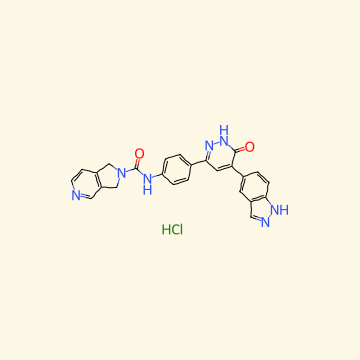 Cl.O=C(Nc1ccc(-c2cc(-c3ccc4[nH]ncc4c3)c(=O)[nH]n2)cc1)N1Cc2ccncc2C1